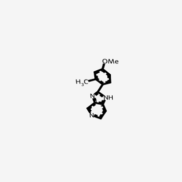 COc1ccc(-c2nc3cnccc3[nH]2)c(C)c1